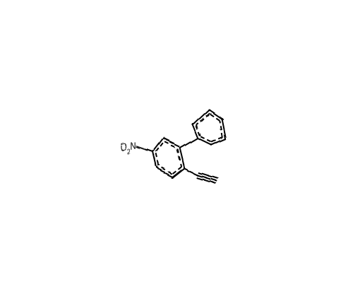 C#Cc1ccc([N+](=O)[O-])cc1-c1ccccc1